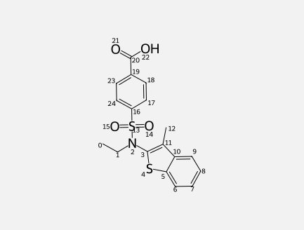 CCN(c1sc2ccccc2c1C)S(=O)(=O)c1ccc(C(=O)O)cc1